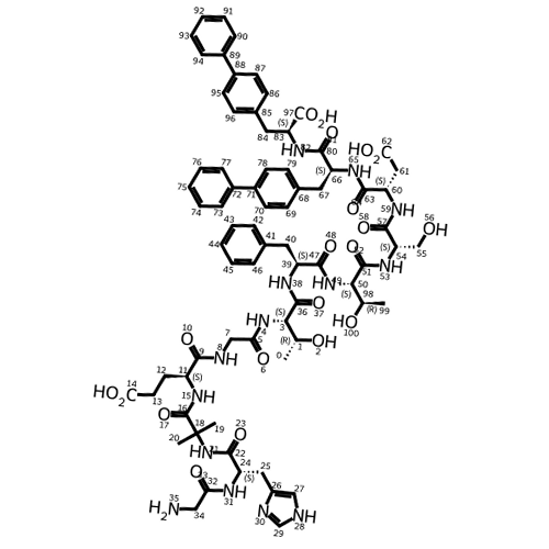 C[C@@H](O)[C@H](NC(=O)CNC(=O)[C@H](CCC(=O)O)NC(=O)C(C)(C)NC(=O)[C@H](Cc1c[nH]cn1)NC(=O)CN)C(=O)N[C@@H](Cc1ccccc1)C(=O)N[C@H](C(=O)N[C@@H](CO)C(=O)N[C@@H](CC(=O)O)C(=O)N[C@@H](Cc1ccc(-c2ccccc2)cc1)C(=O)N[C@@H](Cc1ccc(-c2ccccc2)cc1)C(=O)O)[C@@H](C)O